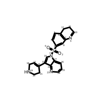 O=S(=O)(c1ccc2c(c1)N=CCC2)n1cc(C2=CCNCC2)c2ncccc21